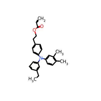 C=CC(=O)OCCc1ccc(N(c2cccc(CC)c2)c2ccc(C)c(C)c2)cc1